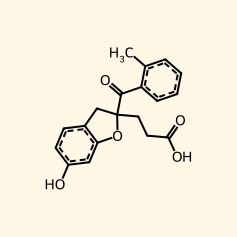 Cc1ccccc1C(=O)C1(CCC(=O)O)Cc2ccc(O)cc2O1